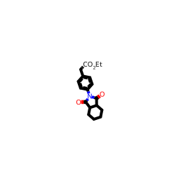 CCOC(=O)Cc1ccc(N2C(=O)C3CCCCC3C2=O)cc1